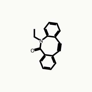 CCN1C(=O)c2ccccc2C#Cc2ccccc21